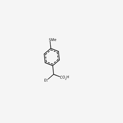 CCC(C(=O)O)c1ccc(SC)cc1